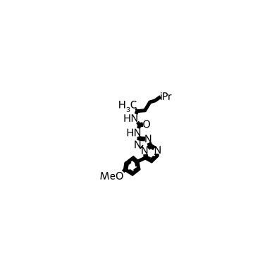 COc1ccc(-c2ccnc3nc(NC(=O)N[C@@H](C)CCCC(C)C)nn23)cc1